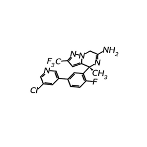 C[C@]1(c2cc(-c3cncc(Cl)c3)ccc2F)N=C(N)Cn2nc(C(F)(F)F)cc21